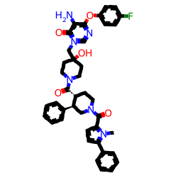 Cn1c(C(=O)N2CC[C@@H](C(=O)N3CCC(O)(Cn4cnc(Oc5ccc(F)cc5)c(N)c4=O)CC3)[C@H](c3ccccc3)C2)ccc1-c1ccccc1